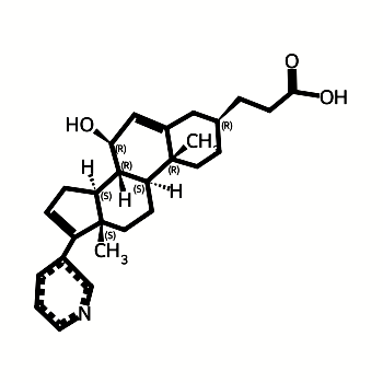 C[C@]12CC[C@H](CCC(=O)O)CC1=C[C@H](O)[C@@H]1[C@@H]2CC[C@]2(C)C(c3cccnc3)=CC[C@@H]12